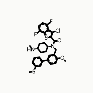 CN[C@H]1CC[C@@H](N(Cc2cc(-c3cccc(SC)c3)ccc2OC)C(=O)c2sc3c(F)ccc(F)c3c2Cl)CC1